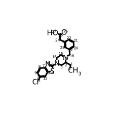 CCC1CN(c2nc3ccc(Cl)cc3s2)CCN1Cc1cccc(CC(=O)O)c1